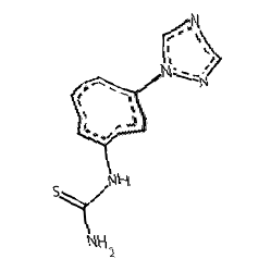 NC(=S)Nc1cccc(-n2cncn2)c1